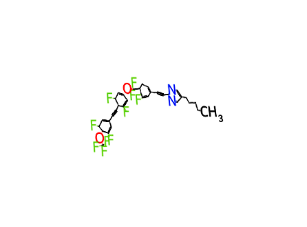 CCCCCc1cnc(C#CC2=CCC(C(F)(F)OC3=CC(F)C(C#CC4=CC(F)C(OC(F)(F)F)C(F)=C4)C(F)=C3)C(F)=C2)nc1